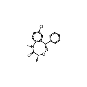 CN1C(=O)C(F)ON=C(c2ccccc2)c2cc(Cl)ccc21